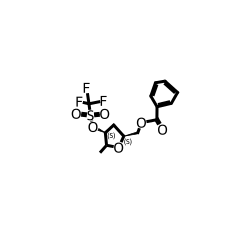 CC1O[C@H](COC(=O)c2ccccc2)C[C@@H]1OS(=O)(=O)C(F)(F)F